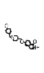 O=c1[nH]ccc2cc(OCC3CCN(Cc4ccc(Cl)cc4)CC3)ccc12